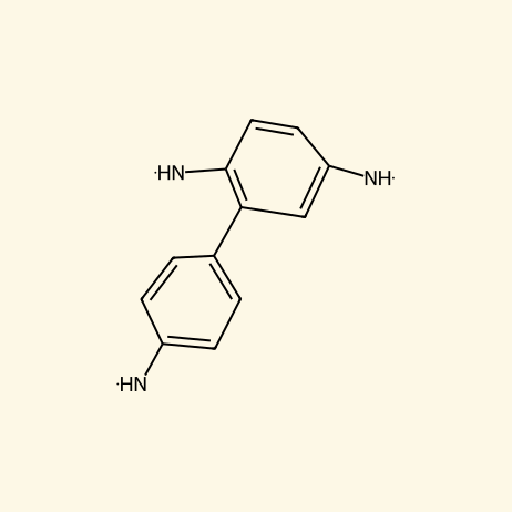 [NH]c1ccc(-c2cc([NH])ccc2[NH])cc1